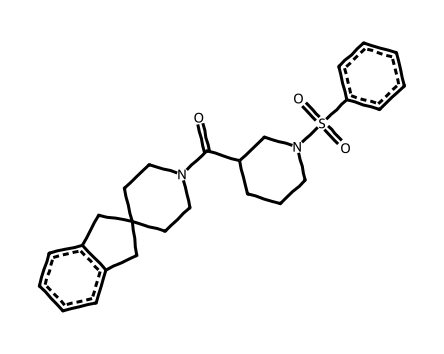 O=C(C1CCCN(S(=O)(=O)c2ccccc2)C1)N1CCC2(CC1)Cc1ccccc1C2